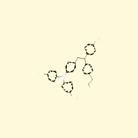 Cc1ccc(C(Cc2ccc(N(c3ccc(C)cc3)c3ccc(C)cc3)cc2)c2ccc(CCO)cc2)cc1